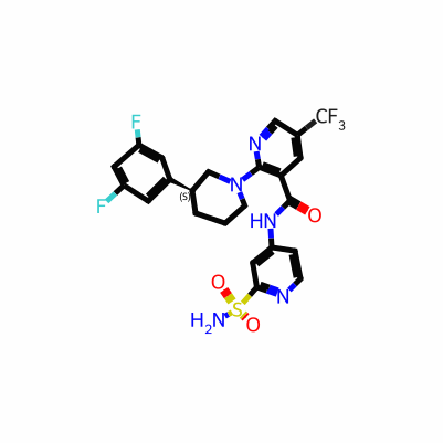 NS(=O)(=O)c1cc(NC(=O)c2cc(C(F)(F)F)cnc2N2CCC[C@@H](c3cc(F)cc(F)c3)C2)ccn1